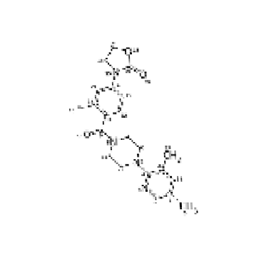 Cc1cnc(N2CCN(C(=O)c3ccc(N4CCOC4=O)cc3F)CC2)c(C)c1